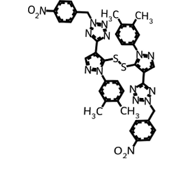 Cc1ccc(-n2ncc(-c3nnn(Cc4ccc([N+](=O)[O-])cc4)n3)c2SSc2c(-c3nnn(Cc4ccc([N+](=O)[O-])cc4)n3)cnn2-c2ccc(C)c(C)c2)cc1C